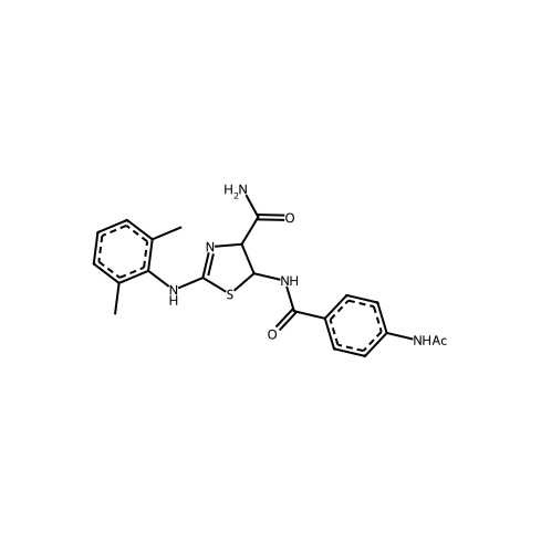 CC(=O)Nc1ccc(C(=O)NC2SC(Nc3c(C)cccc3C)=NC2C(N)=O)cc1